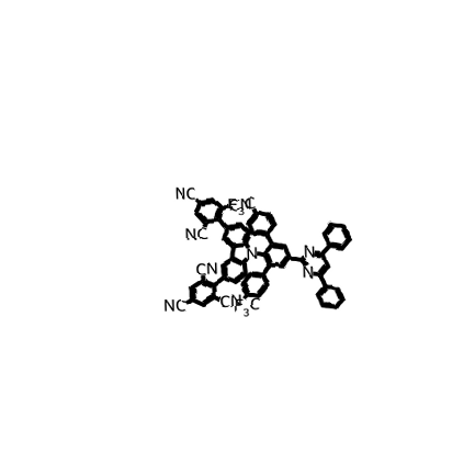 N#Cc1cc(C#N)c(-c2ccc3c(c2)c2cc(-c4c(C#N)cc(C#N)cc4C#N)ccc2n3-c2c(-c3ccc(C(F)(F)F)cc3)cc(-c3nc(-c4ccccc4)cc(-c4ccccc4)n3)cc2-c2ccc(C(F)(F)F)cc2)c(C#N)c1